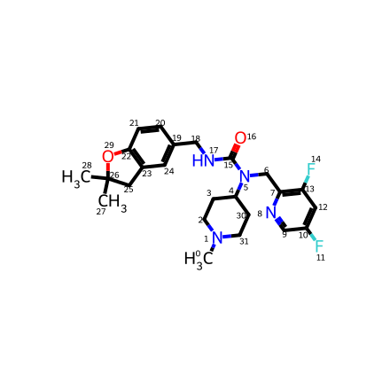 CN1CCC(N(Cc2ncc(F)cc2F)C(=O)NCc2ccc3c(c2)CC(C)(C)O3)CC1